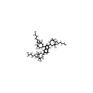 CCCCCCN1C(C)(C)CCC(c2cc(C3CCC(C)(C)N(CCCCCC)C(C)(C)C3)c3cc(C4CCC(C)(C)N(CCCCCC)C(C)(C)C4)ccc3c2)CC1(C)C